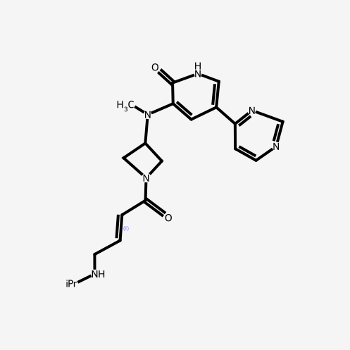 CC(C)NC/C=C/C(=O)N1CC(N(C)c2cc(-c3ccncn3)c[nH]c2=O)C1